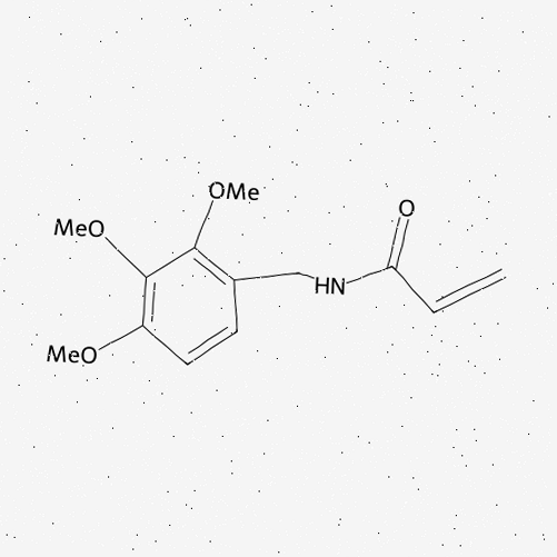 C=CC(=O)NCc1ccc(OC)c(OC)c1OC